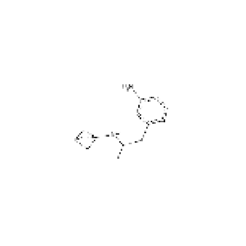 CC(Cc1cccc(N)c1)NC12CC(C1)C2